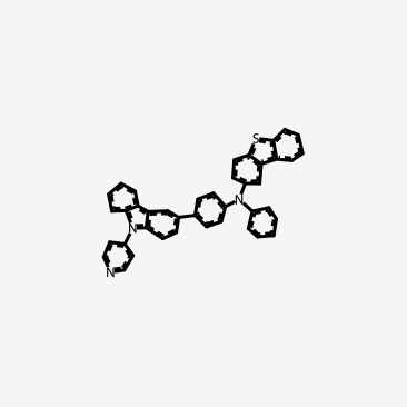 c1ccc(N(c2ccc(-c3ccc4c(c3)c3ccccc3n4-c3ccncc3)cc2)c2ccc3sc4ccccc4c3c2)cc1